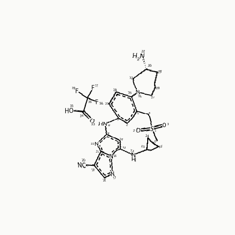 CS(=O)(=O)Cc1cc(Nc2cc(NC3CC3)n3ncc(C#N)c3n2)ccc1N1CCC[C@@H](N)C1.O=C(O)C(F)(F)F